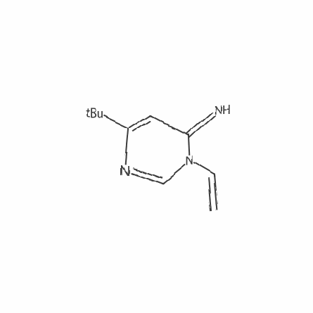 C=Cn1cnc(C(C)(C)C)cc1=N